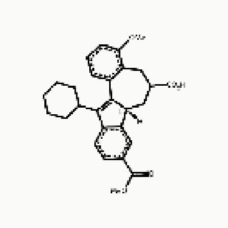 COC(=O)c1ccc2c(c1)[C@H]1CC(C(=O)O)Cc3c(OC)cccc3C1=C2C1CCCCC1